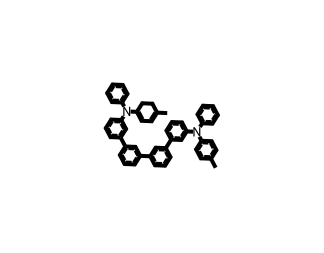 CC1=CC=C(N(c2ccccc2)c2cccc(-c3cccc(-c4cccc(-c5cccc(N(c6ccccc6)c6ccc(C)cc6)c5)c4)c3)c2)CC1